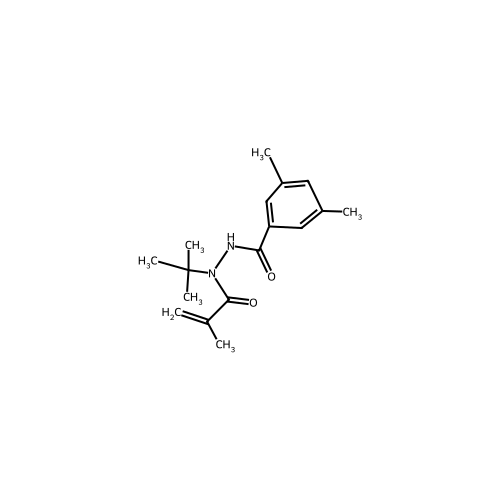 C=C(C)C(=O)N(NC(=O)c1cc(C)cc(C)c1)C(C)(C)C